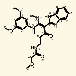 CN/C(Nc1cc(OC)cc(OC)c1)=C(/C(=O)CCNC(=O)COC)c1nc2ccccc2[nH]1